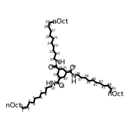 CCCCCCCC/C=C\CCCCCCCCNC(=O)C1CC(C(=O)NCCCCCCCC/C=C\CCCCCCCC)CC(C(=O)NCCCCCCCC/C=C\CCCCCCCC)C1